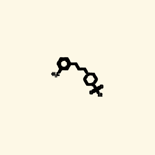 [CH2]c1cccc(CCCN2CCN(S(=O)(=O)CC)CC2)c1